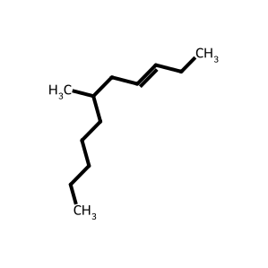 CCC=CCC(C)CCCCC